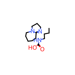 C1CCC2=NCCCN2CC1.CCCCNC(=O)O